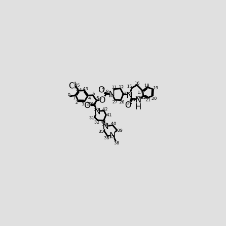 Cc1ccc(CC(OC(=O)N2CCC(N3CCc4ccccc4NC3=O)CC2)C(=O)N2CCC(N3CCN(C)CC3)CC2)cc1Cl